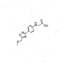 COCc1nc(-c2ccc(NCC(=O)O)cc2)no1